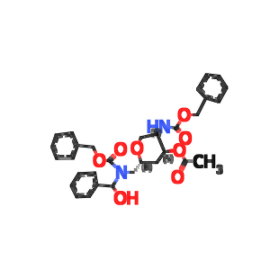 CC(=O)O[C@H]1C[C@H](CN(C(=O)OCc2ccccc2)C(O)c2ccccc2)OC[C@@H]1NC(=O)OCc1ccccc1